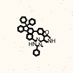 CN1C(C2=CNCc3oc4ccc(-c5ccc6c(c5)C(c5ccccc5)(c5ccccc5)c5ccccc5-6)cc4c32)N=C(c2ccccc2)NC1c1ccccc1